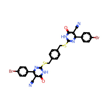 N#Cc1c(-c2ccc(Br)cc2)nc(SCc2ccc(CSc3nc(-c4ccc(Br)cc4)c(C#N)c(=O)[nH]3)cc2)[nH]c1=O